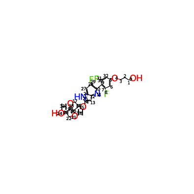 OCCCOc1cc(F)c(-c2nc3cc(O[C@@H]4CO[C@H]5[C@@H]4OC[C@H]5O)[nH]c3cc2F)c(F)c1